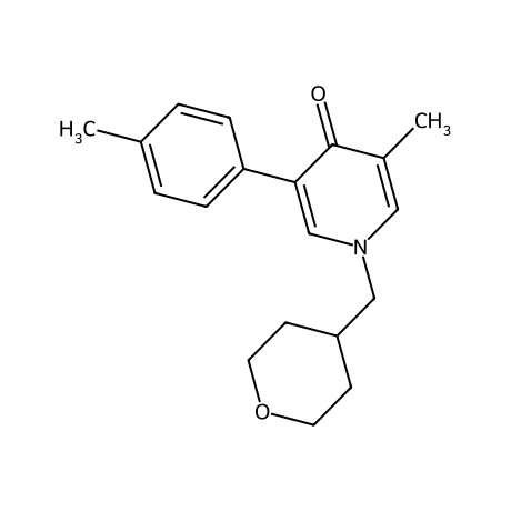 Cc1ccc(-c2cn(CC3CCOCC3)cc(C)c2=O)cc1